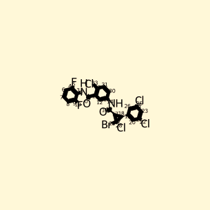 O=C(Nc1c(F)cccc1F)c1cc(NC(=O)[C@H]2[C@H](c3cc(Cl)cc(Cl)c3)C2(Cl)Br)ccc1Cl